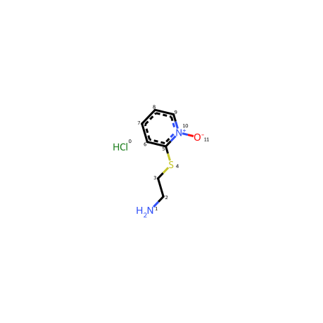 Cl.NCCSc1cccc[n+]1[O-]